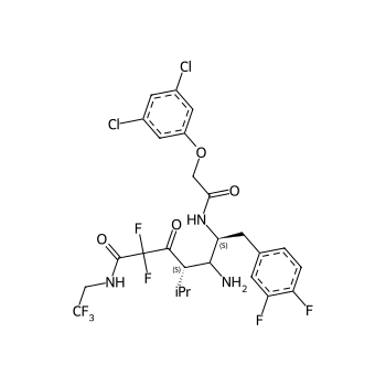 CC(C)[C@H](C(=O)C(F)(F)C(=O)NCC(F)(F)F)C(N)[C@H](Cc1ccc(F)c(F)c1)NC(=O)COc1cc(Cl)cc(Cl)c1